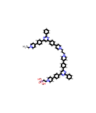 CC[n+]1ccc(-c2ccc(-c3cc(-c4ccc(-c5cc[n+](CCC[n+]6ccc(-c7ccc(-c8cc(-c9ccc(-c%10cc[n+](CCP(=O)(O)O)cc%10)cc9)nc(-c9ccccc9)n8)cc7)cc6)cc5)cc4)nc(-c4ccccc4)n3)cc2)cc1